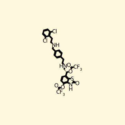 O=C(Oc1ccc([C@H](CNCCc2ccc(CNCCc3c(Cl)cccc3Cl)cc2)OC(=O)C(F)(F)F)c2sc(=O)[nH]c12)C(F)(F)F